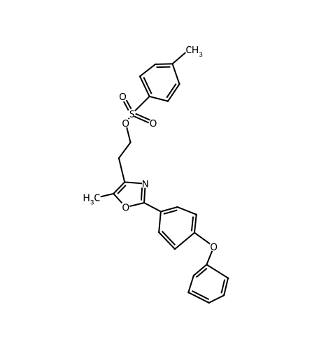 Cc1ccc(S(=O)(=O)OCCc2nc(-c3ccc(Oc4ccccc4)cc3)oc2C)cc1